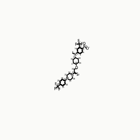 CN(c1ccc([N+](=O)[O-])c(C(F)(F)F)c1)[C@H]1CC[C@H](OCC(=S)N2CCN(c3ccc(C(F)(F)F)cc3)CC2)CC1